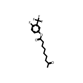 CC(=O)CCCCCCC(=O)Oc1ccc(F)c(C(F)(F)F)c1